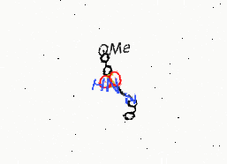 COc1ccc(-c2ccc(S(=O)(=O)NCCCN3CCC(Cc4ccccc4)CC3)cc2)cc1